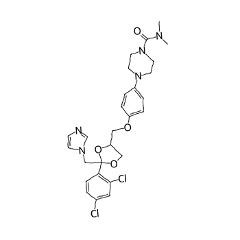 CN(C)C(=O)N1CCN(c2ccc(OCC3COC(Cn4ccnc4)(c4ccc(Cl)cc4Cl)O3)cc2)CC1